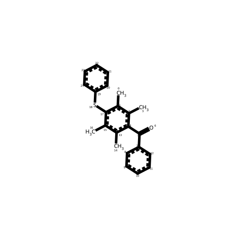 Cc1c(C)c(C(=O)c2ccccc2)c(C)c(C)c1Sc1cc[c]cc1